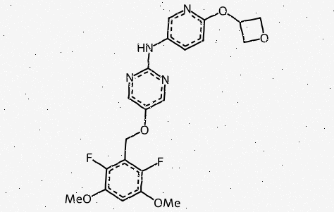 COc1cc(OC)c(F)c(COc2cnc(Nc3ccc(OC4COC4)nc3)nc2)c1F